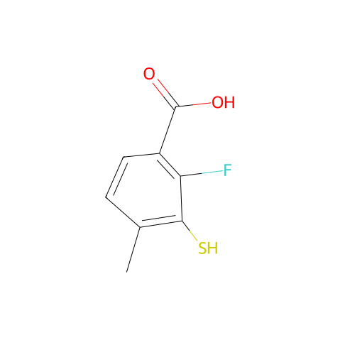 Cc1ccc(C(=O)O)c(F)c1S